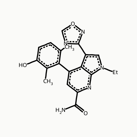 CCn1cc(-c2ncon2)c2c(-c3c(C)ccc(O)c3C)cc(C(N)=O)nc21